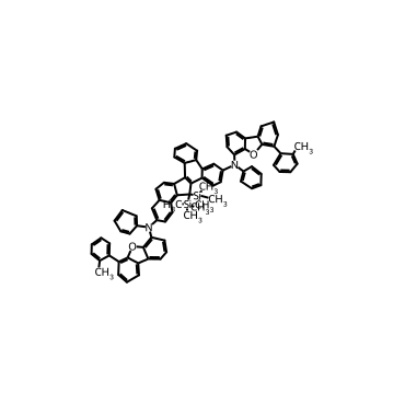 Cc1ccccc1-c1cccc2c1oc1c(N(c3ccccc3)c3ccc4c5c(ccc4c3)-c3c(c4ccc(N(c6ccccc6)c6cccc7c6oc6c(-c8ccccc8C)cccc67)cc4c4ccccc34)C5([Si](C)(C)C)[Si](C)(C)C)cccc12